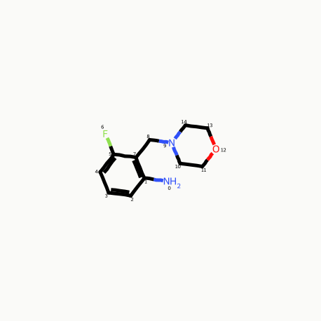 Nc1cccc(F)c1CN1CCOCC1